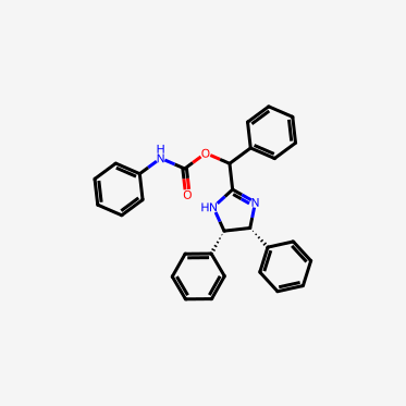 O=C(Nc1ccccc1)OC(C1=N[C@H](c2ccccc2)[C@H](c2ccccc2)N1)c1ccccc1